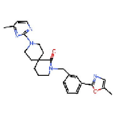 Cc1ccnc(N2CCC3(CCCN(Cc4cccc(-c5ncc(C)o5)c4)C3=O)CC2)n1